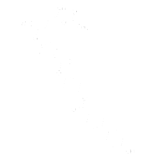 CC(=O)OC(C)CCC(C)Oc1ccc(C(=O)Oc2ccc(OC(=O)C3CCC(C4CCC(C)CC4)CC3)cc2)cc1